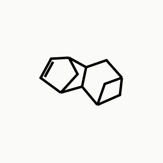 C1=CC2CC1C1CC3CC(C3)C21